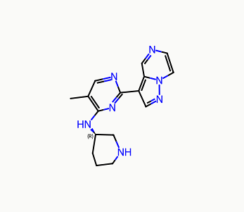 Cc1cnc(-c2cnn3ccncc23)nc1N[C@@H]1CCCNC1